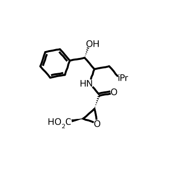 CC(C)CC(NC(=O)[C@@H]1O[C@H]1C(=O)O)[C@@H](O)c1ccccc1